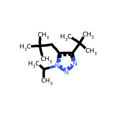 CC(C)n1nnc(C(C)(C)C)c1CC(C)(C)C